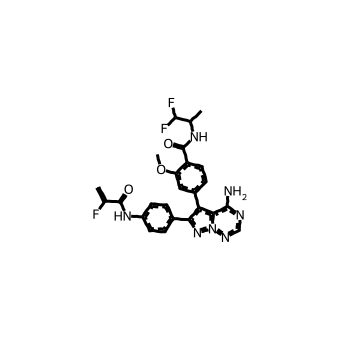 C=C(F)C(=O)Nc1ccc(-c2nn3ncnc(N)c3c2-c2ccc(C(=O)NC(C)C(F)F)c(OC)c2)cc1